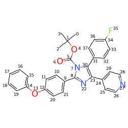 CC(C)(C)OC(=O)n1c(-c2ccc(Oc3ccccc3)cc2)nc(-c2ccncc2)c1-c1ccc(F)cc1